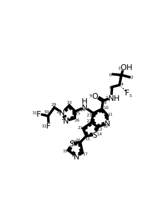 CC(C)(O)[C@H](F)CNC(=O)c1cnc2sc(-c3cncs3)cc2c1Nc1cnn(CC(F)F)c1